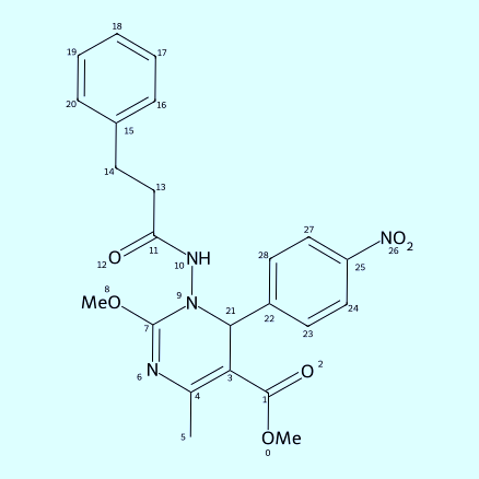 COC(=O)C1=C(C)N=C(OC)N(NC(=O)CCc2ccccc2)C1c1ccc([N+](=O)[O-])cc1